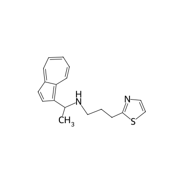 CC(NCCCc1nccs1)c1ccc2cccccc1-2